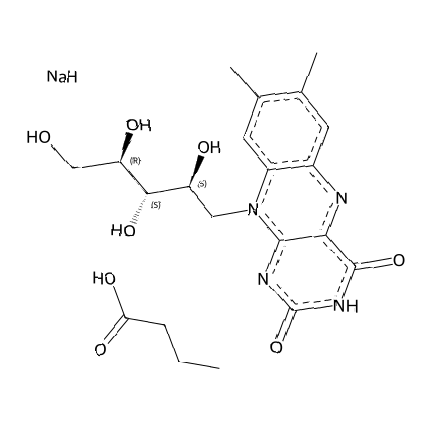 CCCC(=O)O.Cc1cc2nc3c(=O)[nH]c(=O)nc-3n(C[C@H](O)[C@H](O)[C@H](O)CO)c2cc1C.[NaH]